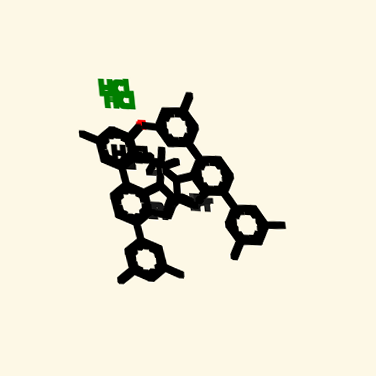 Cc1cc(C)cc(-c2ccc(-c3cc(C)cc(C)c3)c3c2C=C(C(C)C)[CH]3[Zr]([CH3])([CH3])(=[SiH2])[CH]2C(C(C)C)=Cc3c(-c4cc(C)cc(C)c4)ccc(-c4cc(C)cc(C)c4)c32)c1.Cl.Cl